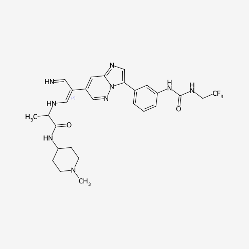 CC(N/C=C(\C=N)c1cnn2c(-c3cccc(NC(=O)NCC(F)(F)F)c3)cnc2c1)C(=O)NC1CCN(C)CC1